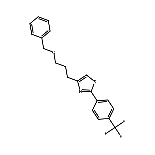 FC(F)(F)c1ccc(-c2nc(CCCOCc3ccccc3)[c]s2)cc1